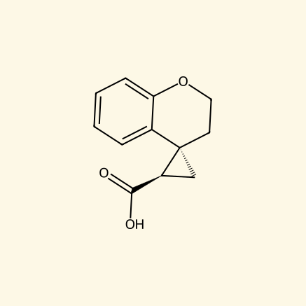 O=C(O)[C@@H]1C[C@]12CCOc1ccccc12